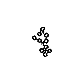 c1ccc(-c2ccc(N(Cc3cccc4c3-c3ccccc3C43c4ccccc4-c4ccccc43)c3cccc(-c4cccc(-n5c6ccccc6c6ccccc65)c4)c3)cc2)cc1